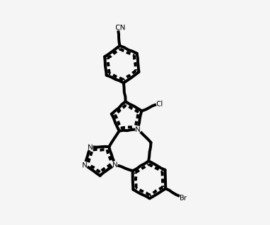 N#Cc1ccc(-c2cc3n(c2Cl)Cc2cc(Br)ccc2-n2cnnc2-3)cc1